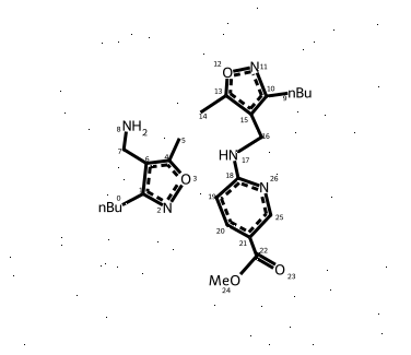 CCCCc1noc(C)c1CN.CCCCc1noc(C)c1CNc1ccc(C(=O)OC)cn1